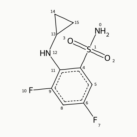 NS(=O)(=O)c1cc(F)cc(F)c1NC1CC1